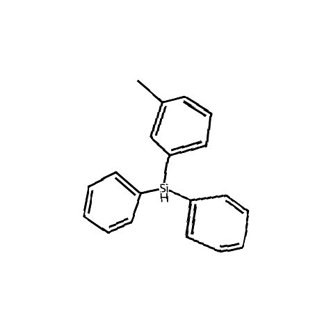 Cc1cccc([SiH](c2ccccc2)c2ccccc2)c1